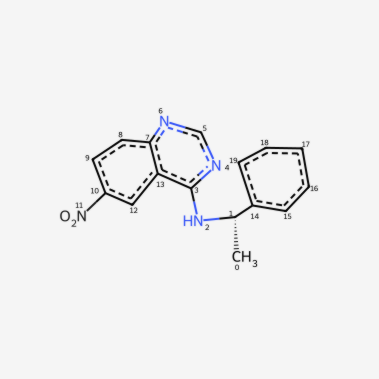 C[C@H](Nc1ncnc2ccc([N+](=O)[O-])cc12)c1ccccc1